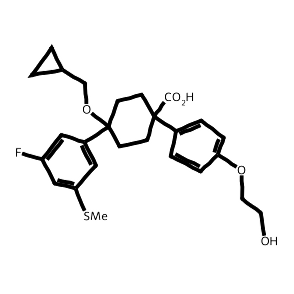 CSc1cc(F)cc(C2(OCC3CC3)CCC(C(=O)O)(c3ccc(OCCO)cc3)CC2)c1